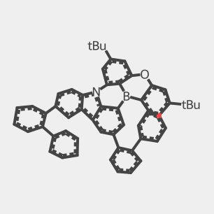 CC(C)(C)c1ccc2c(c1)Oc1cc(C(C)(C)C)cc3c1B2c1cc(-c2ccccc2-c2ccccc2)cc2c4cc(-c5ccccc5-c5ccccc5)ccc4n-3c12